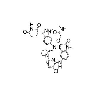 CNC(=O)COc1cc2cc(Nc3nc(N4CCC[C@H]4CNc4ccc5c(C6CCC(=O)NC6=O)nn(C)c5c4)ncc3Cl)ccc2n(C)c1=O